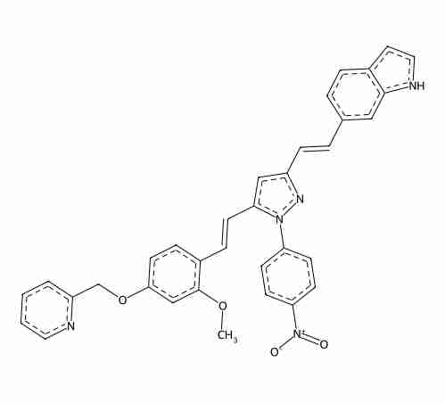 COc1cc(OCc2ccccn2)ccc1/C=C/c1cc(/C=C/c2ccc3cc[nH]c3c2)nn1-c1ccc([N+](=O)[O-])cc1